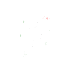 OCc1c(F)c(F)c(CCBr)c(F)c1F